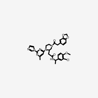 COc1ccc(C(C)NC(=O)CC2CN(C(=O)Cc3ccc4c(c3)OCO4)CCN2c2cc(C)nc(-n3ccnc3)n2)cc1Cl